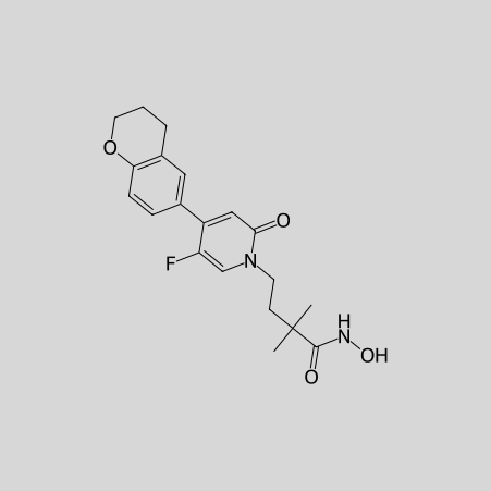 CC(C)(CCn1cc(F)c(-c2ccc3c(c2)CCCO3)cc1=O)C(=O)NO